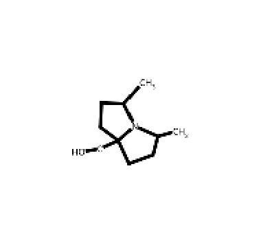 CC1CCC2(CO)CCC(C)N12